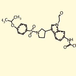 CC(=O)Nc1ccc2c(C3CCN(S(=O)(=O)c4ccc(OC(C)C)cc4)C3)cn(CC=O)c2c1